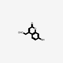 [NH]c1ccc2c(CC=O)cc(=O)oc2c1